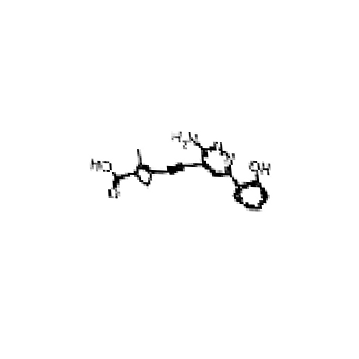 CC1=C(C#Cc2cc(-c3ccccc3O)nnc2N)CC1C(=O)O